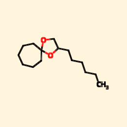 CCCCCCC1COC2(CCCCCC2)O1